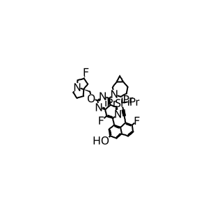 CC(C)[Si](C#Cc1c(F)ccc2cc(O)cc(-c3ncc4c(N5CCCC6CC6C5)nc(OC[C@@]56CCCN5C[C@H](F)C6)nc4c3F)c12)(C(C)C)C(C)C